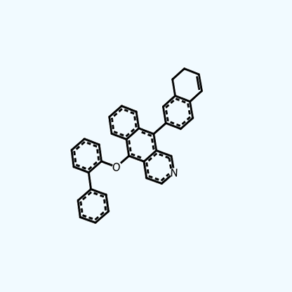 C1=Cc2ccc(-c3c4ccccc4c(Oc4ccccc4-c4ccccc4)c4ccncc34)cc2CC1